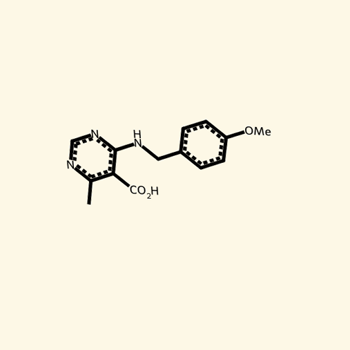 COc1ccc(CNc2ncnc(C)c2C(=O)O)cc1